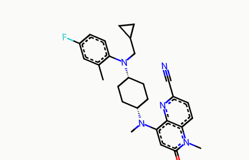 Cc1cc(F)ccc1N(CC1CC1)[C@H]1CC[C@@H](N(C)c2cc(=O)n(C)c3ccc(C#N)nc23)CC1